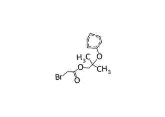 CC(C)(COC(=O)CBr)Oc1ccccc1